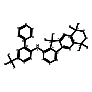 CC(C)(C)c1ccc(Nc2cccc3c2C(C)(C)c2cc4c(cc2-3)C(C)(C)CCC4(C)C)c(-c2ccccc2)c1